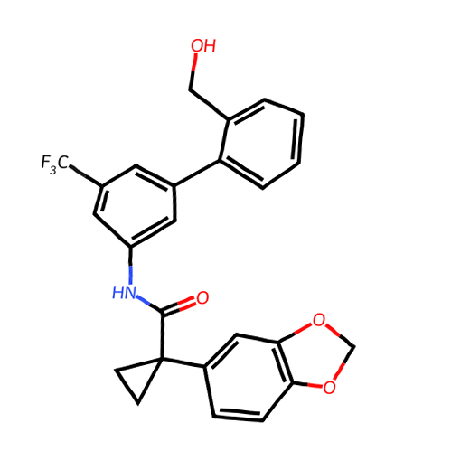 O=C(Nc1cc(-c2ccccc2CO)cc(C(F)(F)F)c1)C1(c2ccc3c(c2)OCO3)CC1